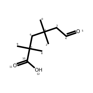 CC(C)(CC=O)CC(C)(C)C(=O)O